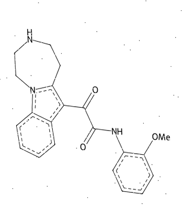 COc1ccccc1NC(=O)C(=O)c1c2n(c3ccccc13)CCNCC2